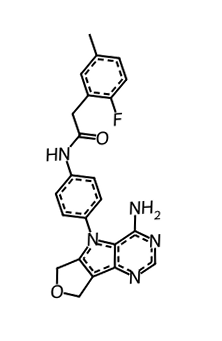 Cc1ccc(F)c(CC(=O)Nc2ccc(-n3c4c(c5ncnc(N)c53)COC4)cc2)c1